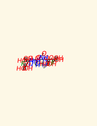 CC(=O)NC(CCCNC(=O)c1cc(B(O)O)cc(C(=O)c2cc(F)cc(B(O)O)c2)c1)C(=O)NC(CCCCNC(=O)c1cc(B(O)O)cc(C(=O)c2cc(F)cc(B(O)O)c2)c1)C(=O)NCCC=O